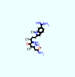 CC[C@@H](CCc1cc2ccc(C(=N)N)cc2n1CC)C(=N)C(=O)[C@H](CC)C(=N)CC(N)=O